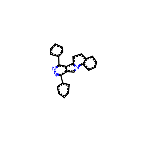 c1ccc(-c2nnc(-c3ccccc3)c3c2cn2c4ccccc4ccc32)cc1